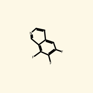 Fc1cc2[c]cncc2c(F)c1F